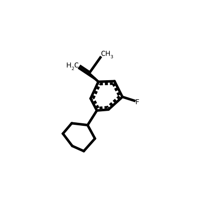 C=C(C)c1cc(F)cc(C2CCCCC2)c1